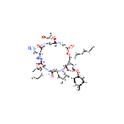 CCCCCC[C@H]1OC(=O)CNC(=O)[C@H](C(C)O)NC(=O)[C@H](CN)NC(=O)[C@H](C2CCCCC2)NC(=O)[C@H](CC(C)C)N(C)C(=O)[C@@H]1CCOc1ccc(C)cc1